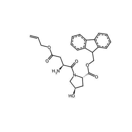 C=CCOC(=O)C[C@H](N)C(=O)N1C[C@H](O)C[C@H]1C(=O)OCC1c2ccccc2-c2ccccc21